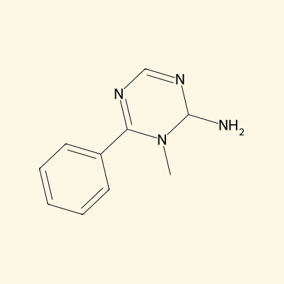 CN1C(c2ccccc2)=NC=NC1N